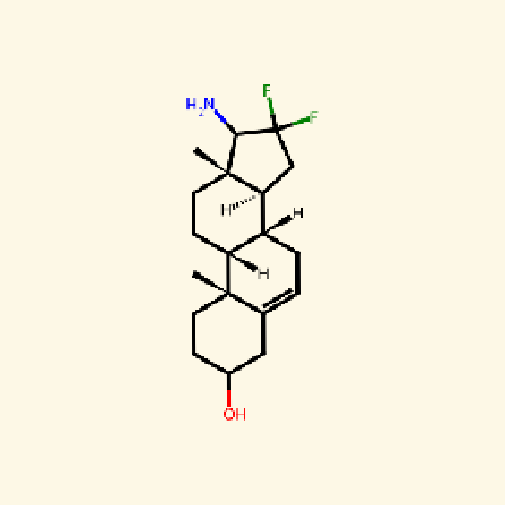 C[C@]12CCC(O)CC1=CC[C@@H]1[C@H]2CC[C@]2(C)C(N)C(F)(F)C[C@@H]12